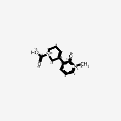 Cn1cccc(C2=CCCN(C(=O)O)C2)c1=O